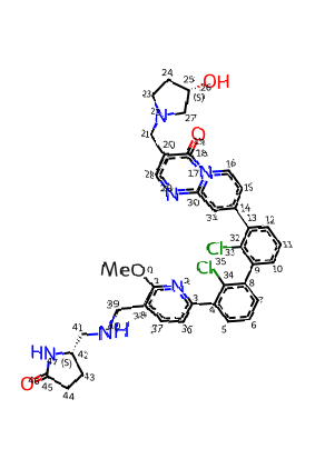 COc1nc(-c2cccc(-c3cccc(-c4ccn5c(=O)c(CN6CC[C@H](O)C6)cnc5c4)c3Cl)c2Cl)ccc1CNC[C@@H]1CCC(=O)N1